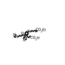 CCOC(=O)C(C)(C)CCCCOc1ccc(NC(=O)CCCn2ccnc2)cc1.O=C(O)CCCn1ccnc1